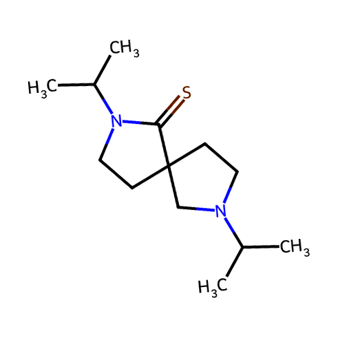 CC(C)N1CCC2(CCN(C(C)C)C2=S)C1